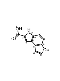 O=C(O)c1cc2c(ccc3occc32)[nH]1